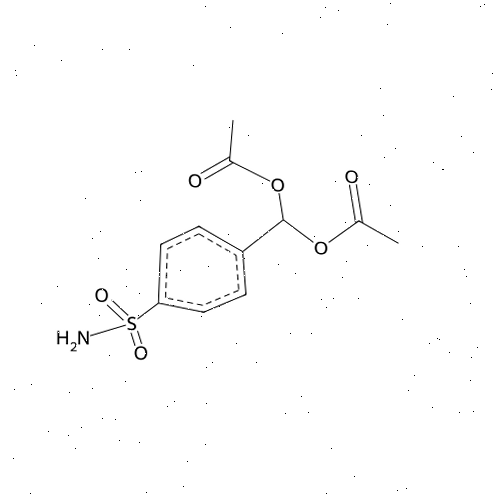 CC(=O)OC(OC(C)=O)c1ccc(S(N)(=O)=O)cc1